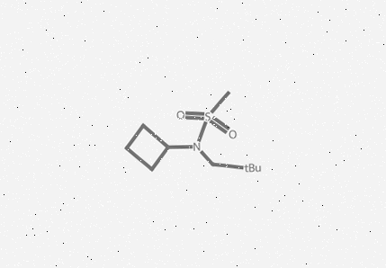 CC(C)(C)CN(C1CCC1)S(C)(=O)=O